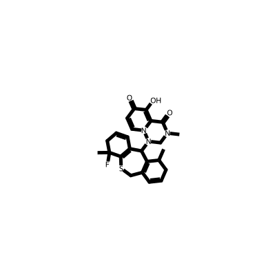 CC1CC=CC2=C1C(N1CN(C)C(=O)c3c(O)c(=O)ccn31)C1=C(SC2)C(C)(F)CC=C1